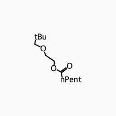 CCCCCC(=O)OCCOCC(C)(C)C